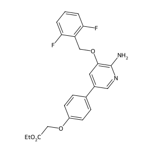 CCOC(=O)COc1ccc(-c2cnc(N)c(OCc3c(F)cccc3F)c2)cc1